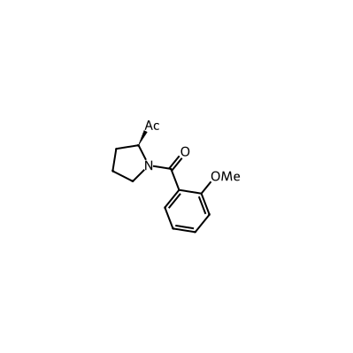 COc1ccccc1C(=O)N1CCC[C@H]1C(C)=O